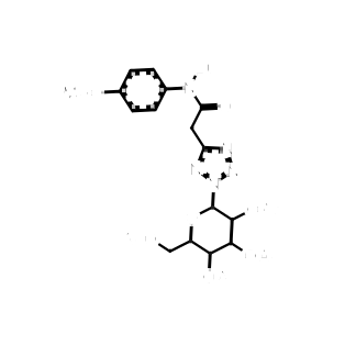 CCN(C(=O)Cc1nnn(C2OC(COC(C)=O)C(OC(C)=O)C(OC(C)=O)C2OC(C)=O)n1)c1ccc(OC)cc1